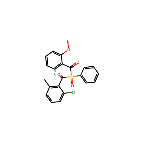 COc1cccc(Cl)c1C(=O)P(=O)(C(=O)c1c(C)cccc1Cl)c1ccccc1